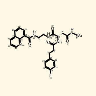 CC(C)(C)NC(=O)C[C@H](NC(=O)CCc1ccc(F)cc1)C(=O)NCCNC(=O)c1cccc2cccnc12